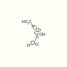 Cl.O=C(O)CCN1CCC2(CC1)COc1cc(OCCc3ccc(Cl)cc3Cl)ccc12